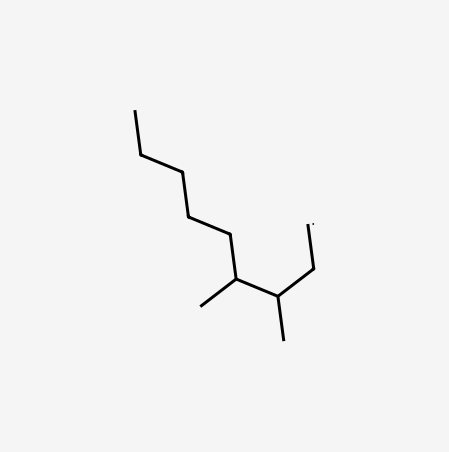 [CH2]CC(C)C(C)CCCCC